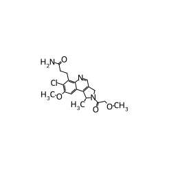 COCC(=O)N1Cc2cnc3c(CCC(N)=O)c(Cl)c(OC)cc3c2[C@@H]1C